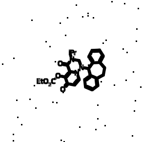 CCOC(=O)Oc1c2n(ccc1=O)N(C1c3ccccc3CCc3ccccc31)CN(C(C)C)C2=O